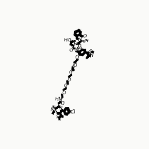 Cc1ncsc1-c1ccc(CNC(=O)[C@@H]2C[C@@H](O)CN2C(=O)[C@H](C(C)C)N2Cc3ccccc3C2=O)c(OCCOCCOCCOCCOCCOCCNC(=O)C[C@@H]2N=C(c3ccc(Cl)cc3)c3c(sc(C)c3C)-n3c(C)nnc32)c1